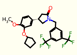 COc1ccc([C@@H]2CC(=O)N(Cc3cc(C(F)(F)F)cc(C(F)(F)F)c3)C2)cc1OC1CCCC1